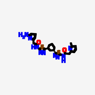 Cc1cccc(CC(=O)Nc2nnc([C@H]3CCC[C@H](c4nnc(NC(=O)Cc5cccc(N)n5)s4)C3)s2)n1